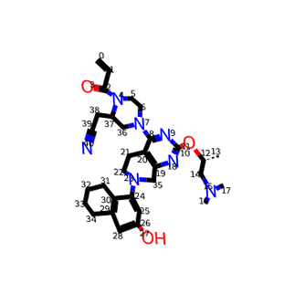 C=CC(=O)N1CCN(c2nc(O[C@H](C)CN(C)C)nc3c2CCN(c2cc(O)cc4c2CCCC4)C3)CC1CC#N